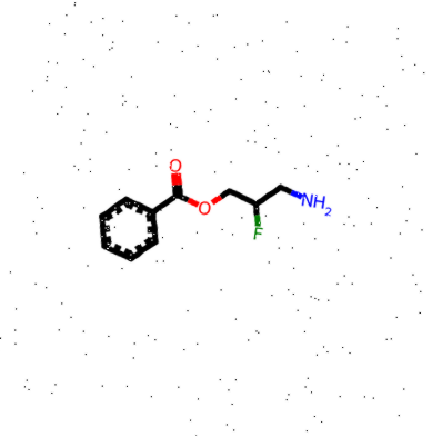 NCC(F)COC(=O)c1ccccc1